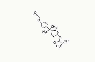 C[C@H](O)C(Cl)Oc1ccc(C(C)(C)c2ccc(OCC3CO3)cc2)cc1